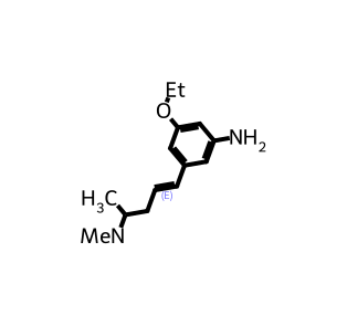 CCOc1cc(N)cc(/C=C/CC(C)NC)c1